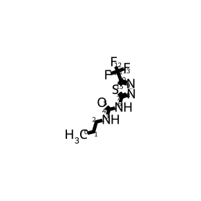 CCCNC(=O)Nc1nnc(C(F)(F)F)s1